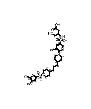 O=C(O)CC(CO)NS(=O)(=O)c1cnc(N2CCC(CCCC3CCN(S(=O)(=O)c4cc(Br)c(Cl)s4)CC3)CC2)c(Br)c1